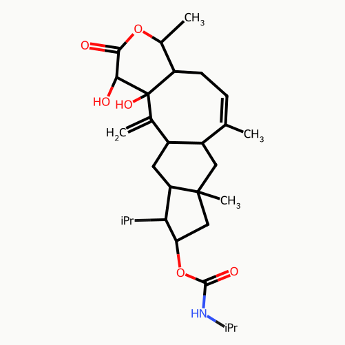 C=C1C2CC3C(C(C)C)C(OC(=O)NC(C)C)CC3(C)CC2C(C)=CCC2C(C)OC(=O)C(O)C12O